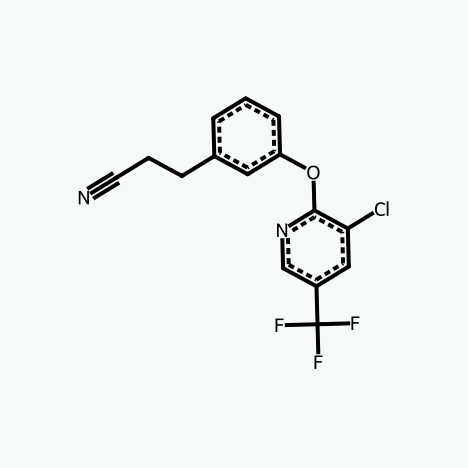 N#CCCc1cccc(Oc2ncc(C(F)(F)F)cc2Cl)c1